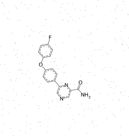 NC(=O)c1cncc(-c2ccc(Oc3ccc(F)cc3)cc2)n1